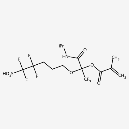 C=C(C)C(=O)OC(OCCCC(F)(F)C(F)(F)S(=O)(=O)O)(C(=O)NC(C)C)C(F)(F)F